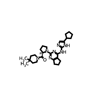 CC1(C)CCN(C(=O)[C@H]2CCCN2c2nc3c(c(Nc4ncc(C5CCCC5)[nH]4)n2)CCC3)CC1